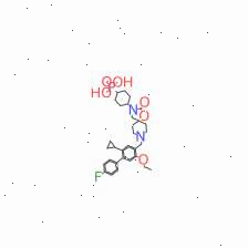 CCOc1cc(-c2ccc(F)cc2)c(C2CC2)cc1CN1CCC2(CC1)CN(C1CCC(P(=O)(O)O)CC1)C(=O)O2